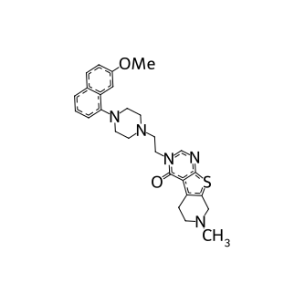 COc1ccc2cccc(N3CCN(CCn4cnc5sc6c(c5c4=O)CCN(C)C6)CC3)c2c1